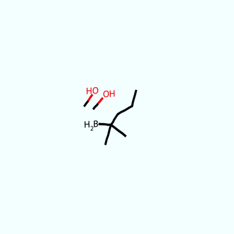 BC(C)(C)CCC.CO.CO